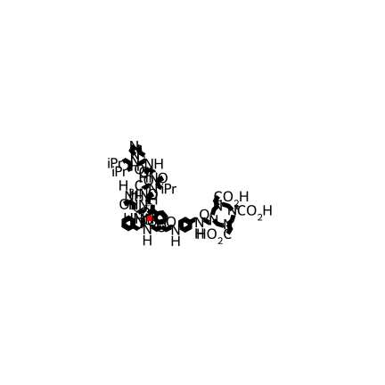 CC(C)CC(CC(C)C)NC(=O)[C@H](Cc1cnc[nH]1)NC(=O)CNC(=O)C(NC(=O)[C@@H](C)NC(=O)[C@H](CC1=CNC2C=CC=CC12)NC(=O)[C@@H](CCC(N)=O)NC(=O)[C@H](Cc1ccccc1)NC(=O)COCC(=O)Nc1ccc(CNC(=O)CN2CCN(CC(=O)O)CCN(CC(=O)O)CCN(CC(=O)O)CC2)cc1)C(C)C